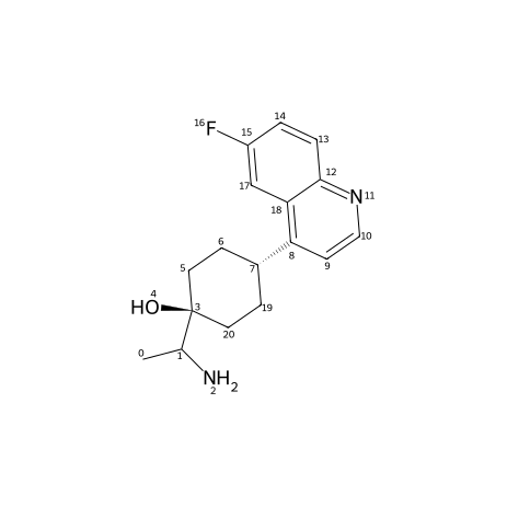 CC(N)[C@]1(O)CC[C@H](c2ccnc3ccc(F)cc32)CC1